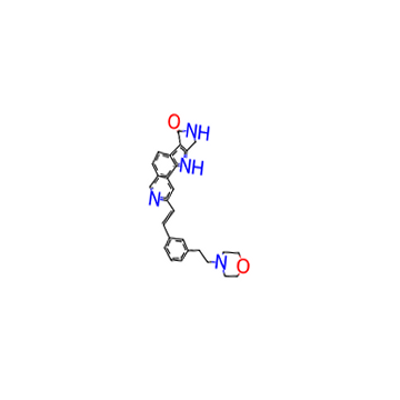 O=C1NCc2[nH]c3c(ccc4cnc(C=Cc5cccc(CCN6CCOCC6)c5)cc43)c21